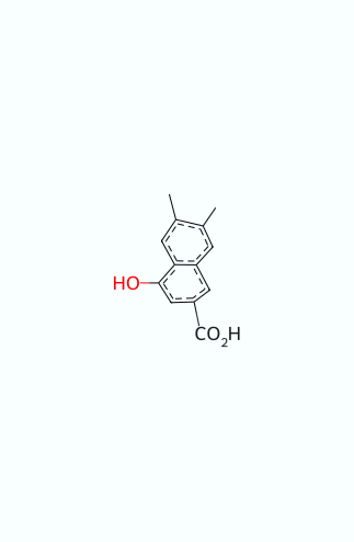 Cc1cc2cc(C(=O)O)cc(O)c2cc1C